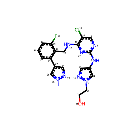 OCCn1cc(Nc2ncc(Cl)c(NCc3c(F)cccc3-c3cn[nH]c3)n2)cn1